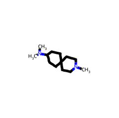 CN1CCC2(CCC(N(C)C)CC2)CC1